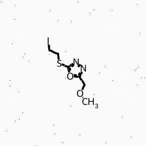 COCc1nnc(SCCI)o1